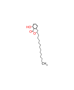 CCCCCCCCCCCCCC1Cc2cccc(O)c2C(=O)O1